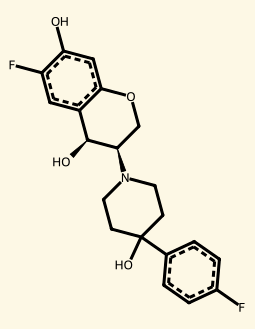 Oc1cc2c(cc1F)[C@H](O)[C@H](N1CCC(O)(c3ccc(F)cc3)CC1)CO2